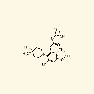 CC/C(CC(=O)OC(C)C)=C(\C(Br)=C/NOC)N1CCC(C)(C)CC1